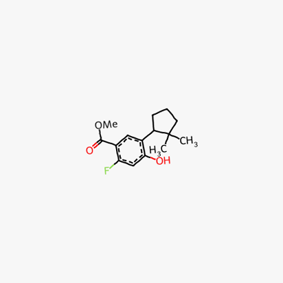 COC(=O)c1cc(C2CCCC2(C)C)c(O)cc1F